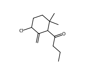 C=C1C(Cl)CCC(C)(C)C1C(=O)CCC